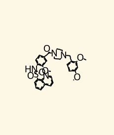 COc1ccc(CN2CCN(C(=O)c3ccc(NS(=O)(=O)c4cccc5cccnc45)c(OC)c3)CC2)c(OC)c1